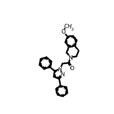 COc1ccc2c(c1)CN(C(=O)Cn1nc(-c3ccccc3)cc1-c1ccccc1)CC2